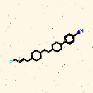 N#Cc1ccc(C2CCC(CCC3CCC(C/C=C/CF)CC3)CC2)cc1